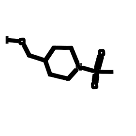 CS(=O)(=O)N1CCC(COI)CC1